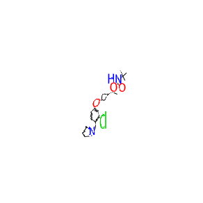 CC(OC(=O)NC(C)(C)C)C1CC(Oc2ccc(CN3CCCC3)c(Cl)c2)C1